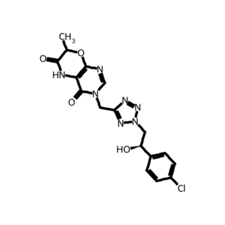 CC1Oc2ncn(Cc3nnn(C[C@H](O)c4ccc(Cl)cc4)n3)c(=O)c2NC1=O